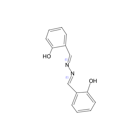 Oc1ccccc1/C=N/N=C/c1ccccc1O